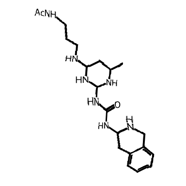 CC(=O)NCCCNC1CC(C)NC(NC(=O)NC2Cc3ccccc3CN2)N1